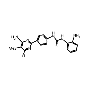 CSc1c(N)nc(-c2ccc(NC(=S)Nc3ccccc3N)cc2)nc1Cl